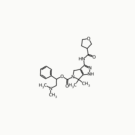 CN(C)CC(OC(=O)N1Cc2c(NC(=O)C3CCOC3)n[nH]c2C1(C)C)c1ccccc1